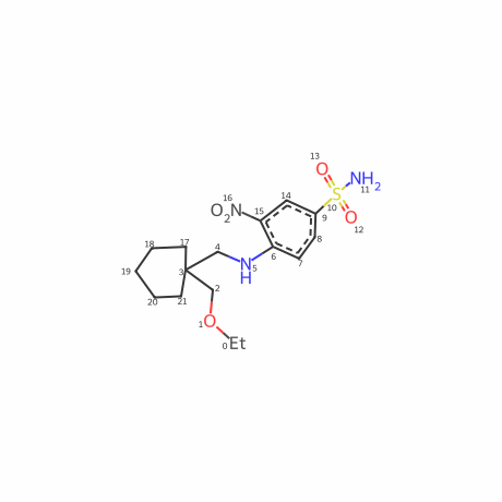 CCOCC1(CNc2ccc(S(N)(=O)=O)cc2[N+](=O)[O-])CCCCC1